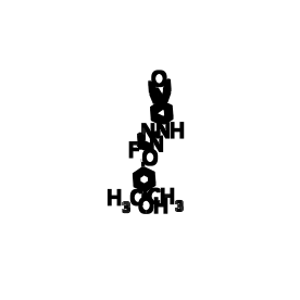 CC(C)(O)[C@H]1CC[C@H](COc2nc(Nc3ccc(N4C5CCC4COC5)cc3)ncc2F)CC1